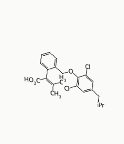 CC(C)=C(C(=O)O)c1ccccc1COc1c(Cl)cc(CC(C)C)cc1Cl